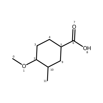 COC1CCC(C(=O)O)CC1C